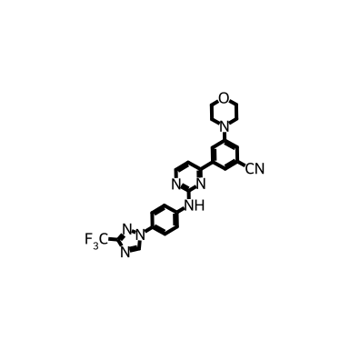 N#Cc1cc(-c2ccnc(Nc3ccc(-n4cnc(C(F)(F)F)n4)cc3)n2)cc(N2CCOCC2)c1